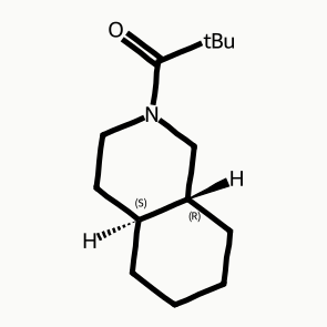 CC(C)(C)C(=O)N1CC[C@@H]2CCCC[C@H]2C1